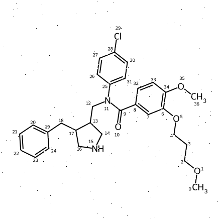 COCCCOc1cc(C(=O)N(CC2CNCC2Cc2ccccc2)c2ccc(Cl)cc2)ccc1OC